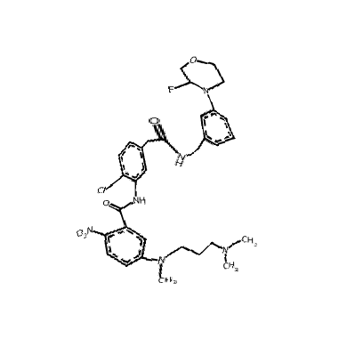 CN(C)CCCN(C)c1ccc([N+](=O)[O-])c(C(=O)Nc2cc(C(=O)Nc3cccc(N4CCOCC4F)c3)ccc2Cl)c1